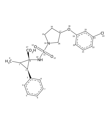 CC1[C@H](c2ccccc2)[C@]1(NS(=O)(=O)N1CCC(Oc2cccc(Cl)c2)C1)C(=O)O